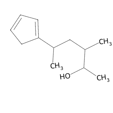 CC(CC(C)C(C)O)C1=CC=CC1